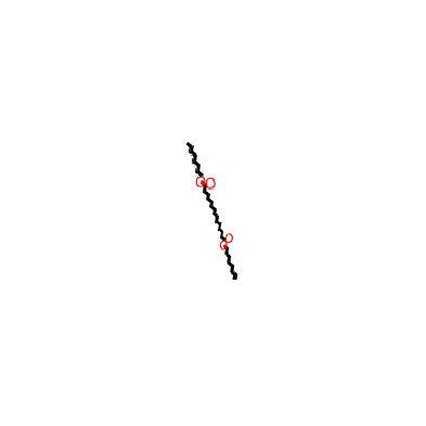 CCCCCCCCOC(=O)CCCCCCCCCCCCCC(=O)OCCCCCCCC